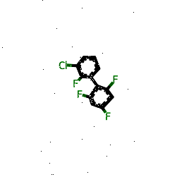 Fc1cc(F)c(-c2cc[c]c(Cl)c2F)c(F)c1